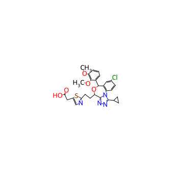 COc1cccc(C2OC(CCc3ncc(CC(=O)O)s3)c3nnc(C4CC4)n3-c3ccc(Cl)cc32)c1OC